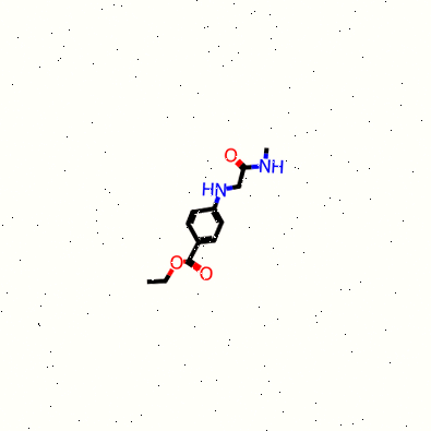 CCOC(=O)c1ccc(NCC(=O)NC)cc1